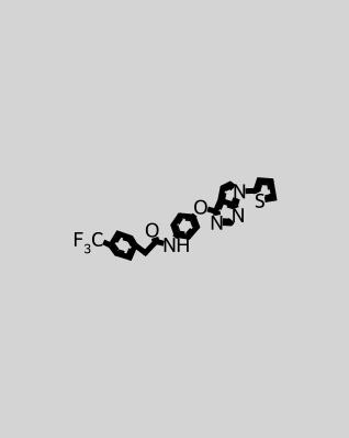 O=C(Cc1ccc(C(F)(F)F)cc1)Nc1ccc(Oc2ncnc3c2ccn3-c2cccs2)cc1